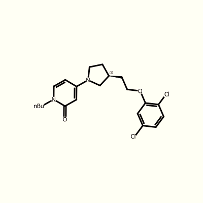 CCCCn1ccc(N2CC[C@@H](CCOc3cc(Cl)ccc3Cl)C2)cc1=O